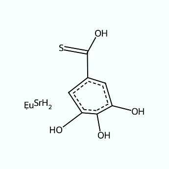 OC(=S)c1cc(O)c(O)c(O)c1.[Eu].[SrH2]